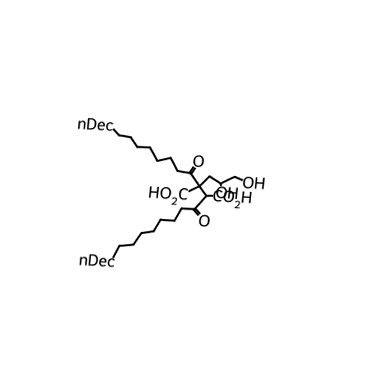 CCCCCCCCCCCCCCCCCC(=O)C(C(=O)O)C(CC(O)CO)(C(=O)O)C(=O)CCCCCCCCCCCCCCCCC